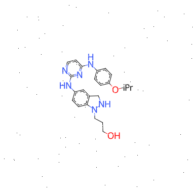 CC(C)Oc1ccc(Nc2ccnc(Nc3ccc4c(c3)CNN4CCCO)n2)cc1